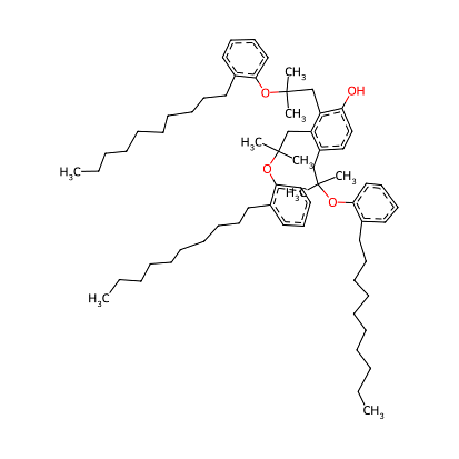 CCCCCCCCCCc1ccccc1OC(C)(C)Cc1ccc(O)c(CC(C)(C)Oc2ccccc2CCCCCCCCCC)c1CC(C)(C)Oc1ccccc1CCCCCCCCCC